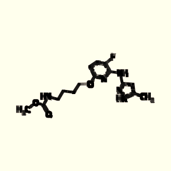 COC(=O)NCCCCOc1ccc(F)c(Nc2cc(C)[nH]n2)n1